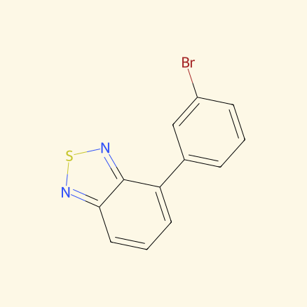 Brc1cccc(-c2cccc3nsnc23)c1